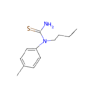 CCCCN(C(N)=S)c1ccc(C)cc1